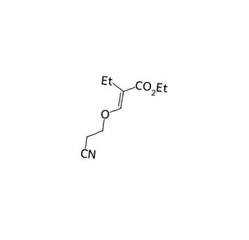 CCOC(=O)C(=COCCC#N)CC